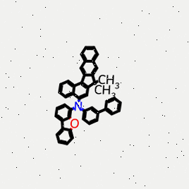 CC1(C)c2cc3ccccc3cc2-c2c1cc(N(c1cccc(-c3ccccc3)c1)c1cccc3c1oc1ccccc13)c1ccccc21